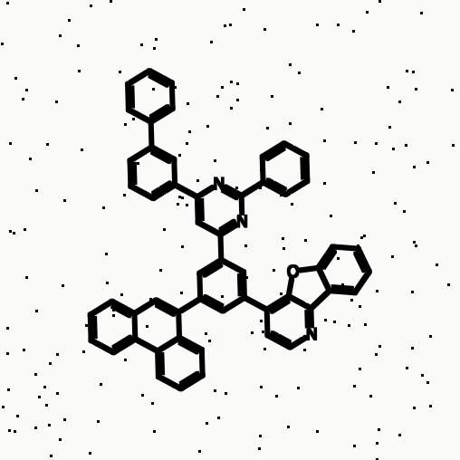 c1ccc(-c2cccc(-c3cc(-c4cc(-c5cc6ccccc6c6ccccc56)cc(-c5ccnc6c5oc5ccccc56)c4)nc(-c4ccccc4)n3)c2)cc1